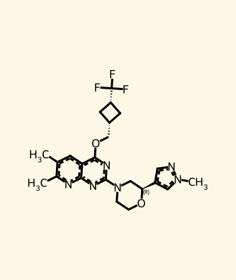 Cc1cc2c(OC[C@H]3C[C@@H](C(F)(F)F)C3)nc(N3CCO[C@H](c4cnn(C)c4)C3)nc2nc1C